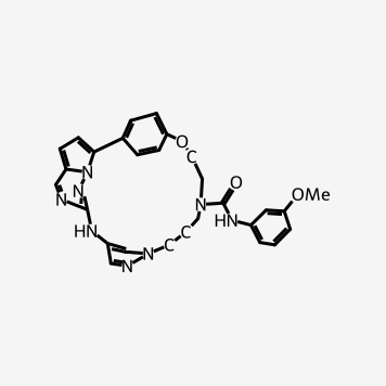 COc1cccc(NC(=O)N2CCCn3cc(cn3)Nc3ncc4ccc(n4n3)-c3ccc(cc3)OCC2)c1